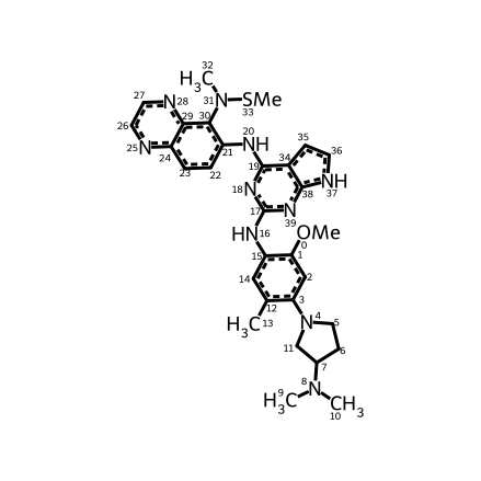 COc1cc(N2CCC(N(C)C)C2)c(C)cc1Nc1nc(Nc2ccc3nccnc3c2N(C)SC)c2cc[nH]c2n1